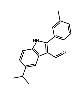 Cc1cccc(-c2[nH]c3ccc(C(C)C)cc3c2C=O)c1